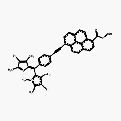 CCCCOC(=O)c1ccc2ccc3c(C#Cc4ccc(/C(=C5/N=C(C)C(CC)=C5C)c5c(C)c(CC)c(C)n5C)cc4)ccc4ccc1c2c43